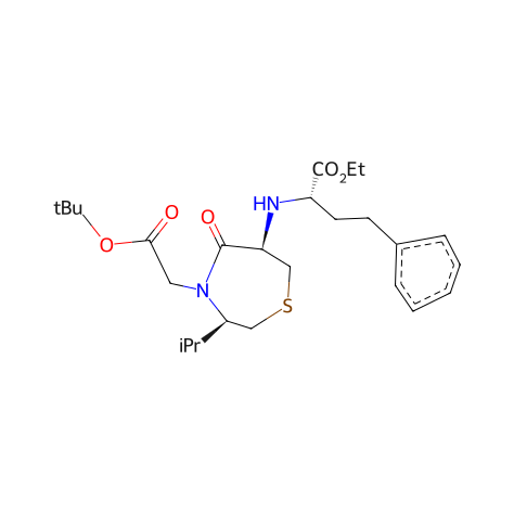 CCOC(=O)[C@H](CCc1ccccc1)N[C@H]1CSC[C@@H](C(C)C)N(CC(=O)OC(C)(C)C)C1=O